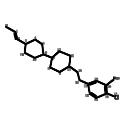 CC=CC1CCC(C2CCC(CCc3ccc(Cl)c(F)c3)CC2)CC1